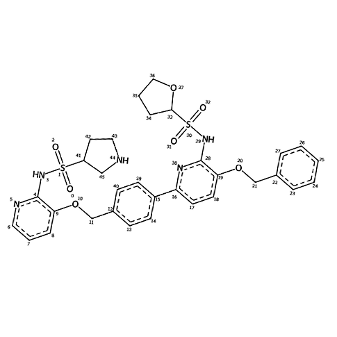 O=S(=O)(Nc1ncccc1OCc1ccc(-c2ccc(OCc3ccccc3)c(NS(=O)(=O)C3CCCO3)n2)cc1)C1CCNC1